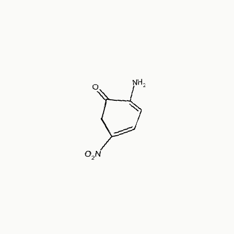 NC1=CC=C([N+](=O)[O-])CC1=O